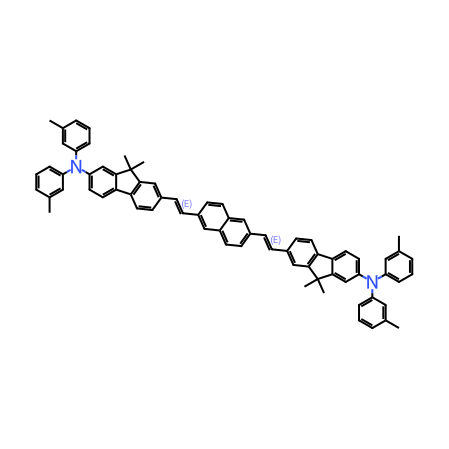 Cc1cccc(N(c2cccc(C)c2)c2ccc3c(c2)C(C)(C)c2cc(/C=C/c4ccc5cc(/C=C/c6ccc7c(c6)C(C)(C)c6cc(N(c8cccc(C)c8)c8cccc(C)c8)ccc6-7)ccc5c4)ccc2-3)c1